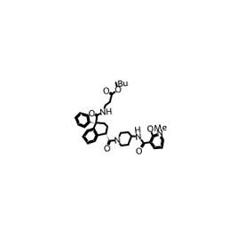 COc1ncccc1C(=O)NC1CCN(C(=O)[C@H]2CC[C@@](C(=O)NCCC(=O)OC(C)(C)C)(c3ccccc3)c3ccccc32)CC1